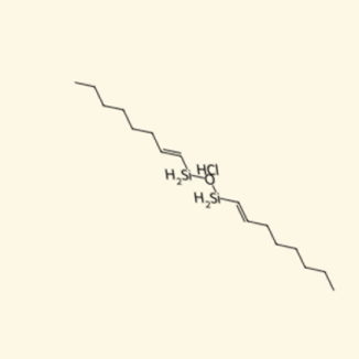 CCCCCCC=C[SiH2]O[SiH2]C=CCCCCCC.Cl